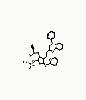 C#C[C@H](Br)CC1C(O[Si](C)(C)C(C)(C)C)CC(OC2CCCCO2)C1CCC(COc1ccccc1)OC1CCCCO1